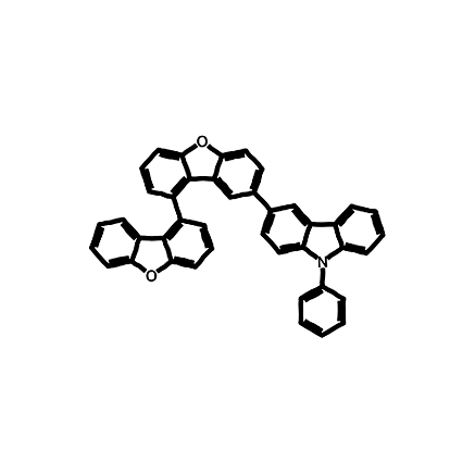 c1ccc(-n2c3ccccc3c3cc(-c4ccc5oc6cccc(-c7cccc8oc9ccccc9c78)c6c5c4)ccc32)cc1